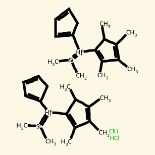 CC1=C(C)C(C)[C]([Hf]([C]2=CC=CC2)=[Si](C)C)=C1C.CC1=C(C)C(C)[C]([Hf]([C]2=CC=CC2)=[Si](C)C)=C1C.Cl.Cl